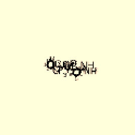 N=C(N)c1cccc(N2CC(COc3ccccc3C(F)(F)F)OC2=O)c1